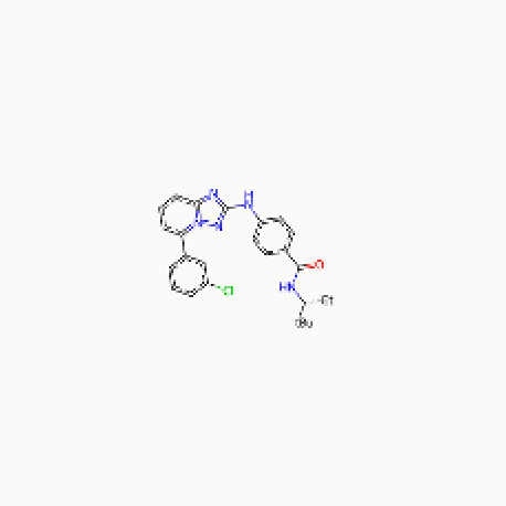 CC[C@@H](NC(=O)c1ccc(Nc2nc3cccc(-c4cccc(Cl)c4)n3n2)cc1)C(C)(C)C